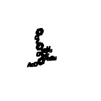 CCCCn1c(C)c(C(=O)NC2CCN(CCOc3ccccc3)CC2)c2cc(OC(C)=O)ccc21